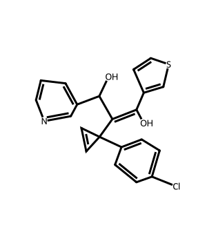 O/C(=C(/C(O)c1cccnc1)C1(c2ccc(Cl)cc2)C=C1)c1ccsc1